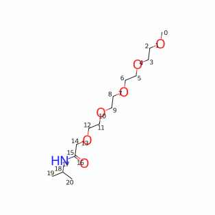 COCCOCCOCCOCCOCC(=O)NC(C)C